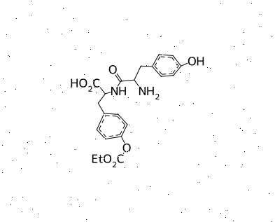 CCOC(=O)Oc1ccc(CC(NC(=O)C(N)Cc2ccc(O)cc2)C(=O)O)cc1